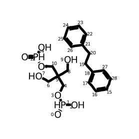 O=[PH](O)OCC(CO)(CO)CO[PH](=O)O.c1ccc(CCc2ccccc2)cc1